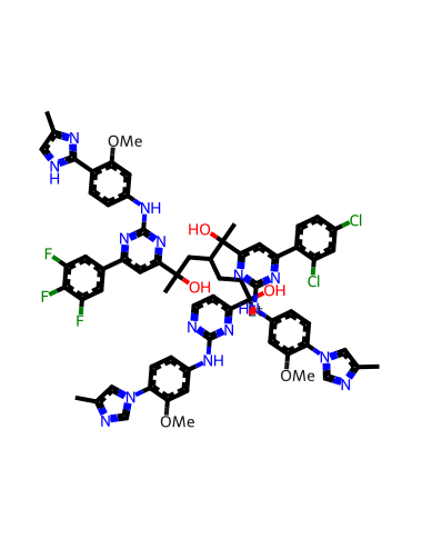 CCC(O)(CCC(CC(C)(O)c1cc(-c2cc(F)c(F)c(F)c2)nc(Nc2ccc(-c3nc(C)c[nH]3)c(OC)c2)n1)C(C)(O)c1cc(-c2ccc(Cl)cc2Cl)nc(Nc2ccc(-n3cnc(C)c3)c(OC)c2)n1)c1ccnc(Nc2ccc(-n3cnc(C)c3)c(OC)c2)n1